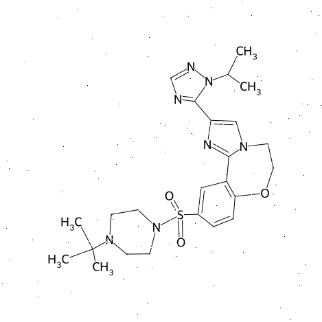 CC(C)n1ncnc1-c1cn2c(n1)-c1cc(S(=O)(=O)N3CCN(C(C)(C)C)CC3)ccc1OCC2